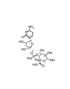 Nc1ccn([C@@H]2O[C@H](COP(=O)(O)O[C@@]3(C(=O)O)C[C@H](O)[C@@H](O)C(O)O3)[C@H](O)C2O)c(=O)n1